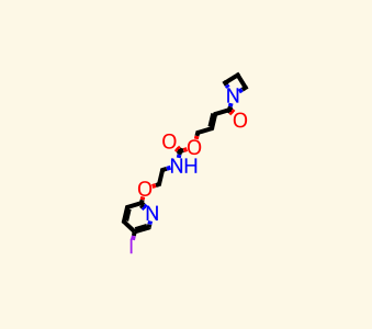 O=C(NCCOc1ccc(I)cn1)OC/C=C/C(=O)N1CCC1